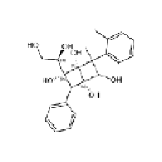 Cc1ccccc1C1(C)C(O)[C@@]2(O)C(c3ccccc3)[C@@](O)([C@H](O)CO)[C@@]12O